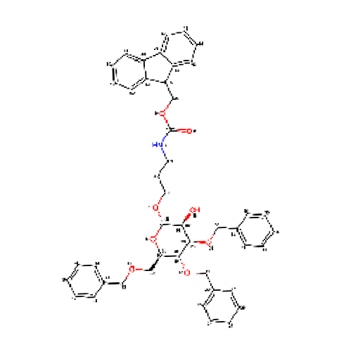 O=C(NCCCO[C@H]1O[C@H](COCc2ccccc2)[C@@H](OCc2ccccc2)[C@H](OCc2ccccc2)[C@@H]1O)OCC1c2ccccc2-c2ccccc21